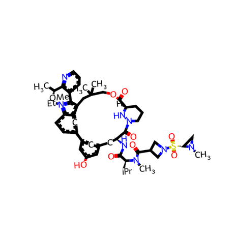 CCn1c(-c2cccnc2[C@H](C)OC)c2c3cc(ccc31)-c1cc(O)cc(c1)C[C@H](NC(=O)[C@H](C(C)C)N(C)C(=O)C1CN(S(=O)(=O)[C@@H]3CN3C)C1)C(=O)N1CCC[C@H](N1)C(=O)OCC(C)(C)C2